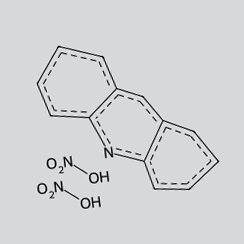 O=[N+]([O-])O.O=[N+]([O-])O.c1ccc2nc3ccccc3cc2c1